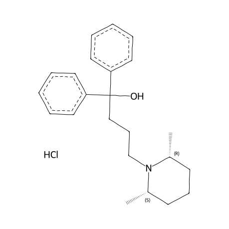 C[C@@H]1CCC[C@H](C)N1CCCC(O)(c1ccccc1)c1ccccc1.Cl